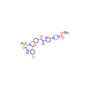 CC1C(=O)Nc2cc(Cl)ccc2C(=O)N1Cc1ccc(C(=O)Nc2ccc(N3CCN(C(=O)OC(C)(C)C)CC3)cn2)cc1